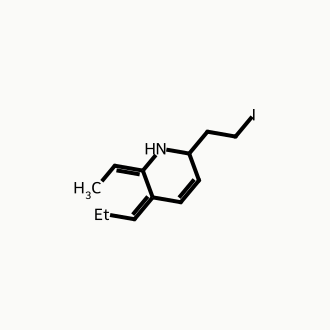 C/C=C1/NC(CCI)C=C/C1=C/CC